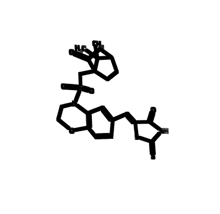 CC1(C)C2CCC1(CS(=O)(=O)N1CCOc3ccc(/C=C4\SC(=S)NC4=O)cc31)C(=O)C2